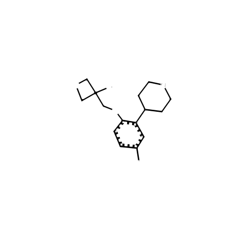 OC1(COc2ccc(F)cc2C2CCNCC2)COC1